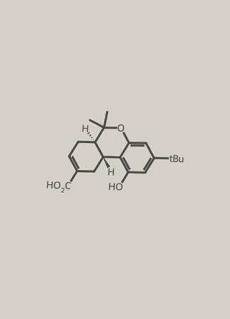 CC(C)(C)c1cc(O)c2c(c1)OC(C)(C)[C@@H]1CC=C(C(=O)O)C[C@@H]21